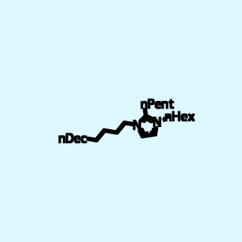 CCCCCCCCCCCCCCn1cc[n+](CCCCCC)c1CCCCC